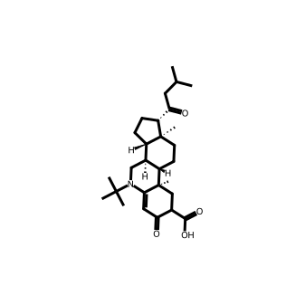 CC(C)CC(=O)[C@H]1CC[C@H]2[C@@H]3CN(C(C)(C)C)C4=CC(=O)C(C(=O)O)C[C@]4(C)[C@H]3CC[C@]12C